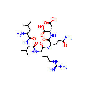 CC(C)C[C@H](N)C(=O)N[C@H](C(=O)N[C@@H](CCCNC(=N)N)C(=O)N[C@@H](CCC(N)=O)C(=O)N[C@@H](CC(=O)O)C(=O)O)C(C)C